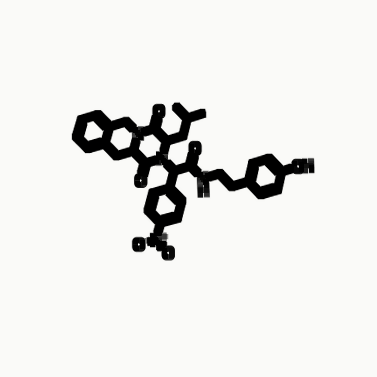 CC(C)CC1C(=O)N2Cc3ccccc3CC2C(=O)N1C(C(=O)NCCc1ccc(O)cc1)c1ccc([N+](=O)[O-])cc1